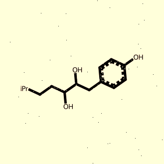 CC(C)CCC(O)C(O)Cc1ccc(O)cc1